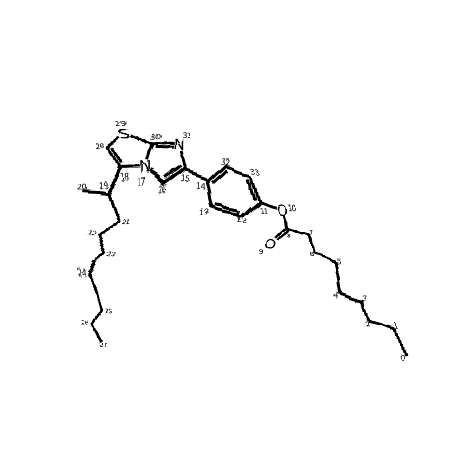 CCCCCCCCC(=O)Oc1ccc(-c2cn3c(C(C)CCCCCCC)csc3n2)cc1